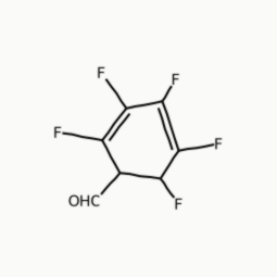 O=CC1C(F)=C(F)C(F)=C(F)C1F